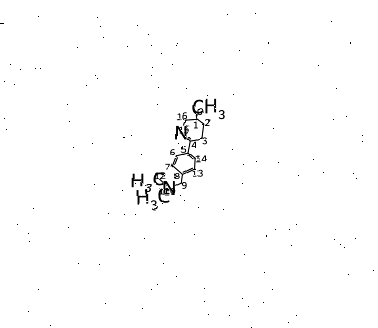 C[C@H]1CCC(c2ccc(CN(C)C)cc2)=NC1